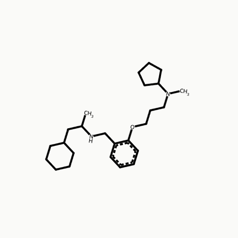 CC(CC1CCCCC1)NCc1ccccc1OCCCN(C)C1CCCC1